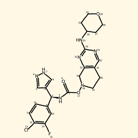 O=C(N[C@H](c1cn[nH]c1)c1ccc(Cl)c(F)c1)ON1CCc2cnc(NC3CCOCC3)nc2C1